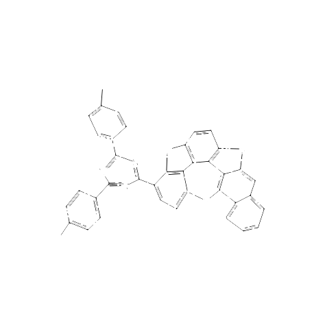 Cc1ccc(-c2nc(-c3ccc(C)cc3)nc(-c3ccc4sc5c6ccccc6cc6sc7ccc8oc3c4c8c7c65)n2)cc1